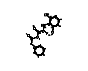 O=C(Cc1ccccc1)OC(=O)C(F)Nc1c(Cl)cccc1Cl